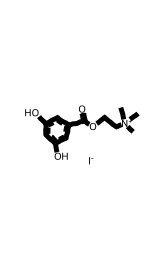 C[N+](C)(C)CCOC(=O)c1cc(O)cc(O)c1.[I-]